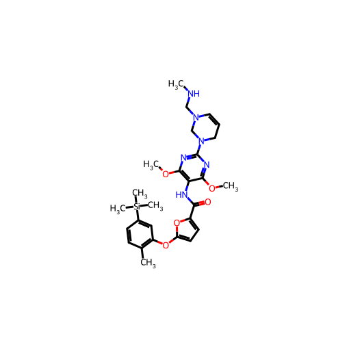 CNCN1C=CCN(c2nc(OC)c(NC(=O)c3ccc(Oc4cc([Si](C)(C)C)ccc4C)o3)c(OC)n2)C1